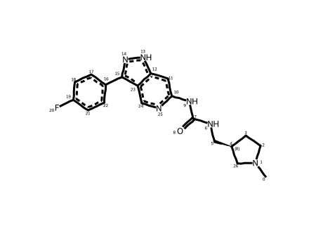 CN1CC[C@H](CNC(=O)Nc2cc3[nH]nc(-c4ccc(F)cc4)c3cn2)C1